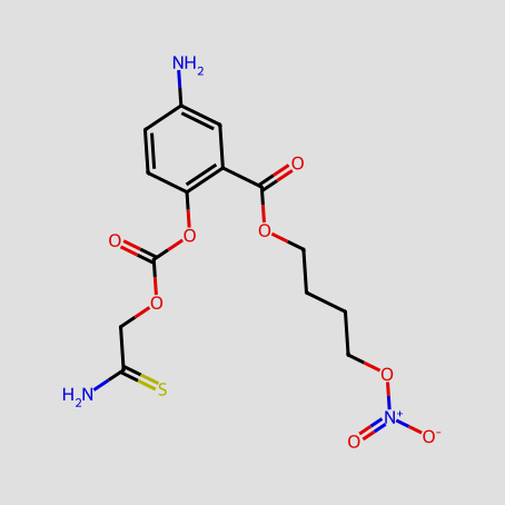 NC(=S)COC(=O)Oc1ccc(N)cc1C(=O)OCCCCO[N+](=O)[O-]